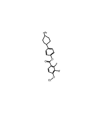 CCCC1CCC(c2ccc(OC(=O)c3ccc(OCC)c(F)c3F)cc2)CC1